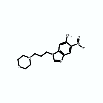 Cc1cc2c(cc1[N+](=O)[O-])ncn2CCCN1CCOCC1